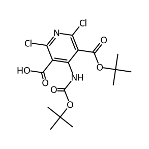 CC(C)(C)OC(=O)Nc1c(C(=O)O)c(Cl)nc(Cl)c1C(=O)OC(C)(C)C